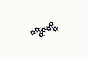 Cc1cccc(-n2c3ccccc3c3cc(-c4ccc5c(c4)c4ccccc4n5-c4cccc(-c5ccccc5)c4)ccc32)c1